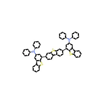 c1ccc(N(c2ccccc2)c2cc(-c3ccc4c(c3)sc3cc(-c5cc(N(c6ccccc6)c6ccccc6)cc6c5sc5ccccc56)ccc34)c3sc4ccccc4c3c2)cc1